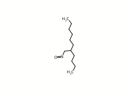 CCCCCCC(CCCC)CN=O